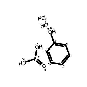 Cl.Cl.O=[P](O)O.Oc1ccccc1